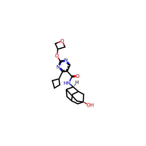 O=C(N[C@H]1C2CC3CC1C[C@@](O)(C3)C2)c1cnc(OC2COC2)nc1C1CCC1